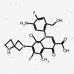 Cc1c(F)c(N2CC3(CCN3)C2)c(Cl)c2c1c(=O)c(C(=O)O)cn2-c1cc(N)c(F)cc1CO